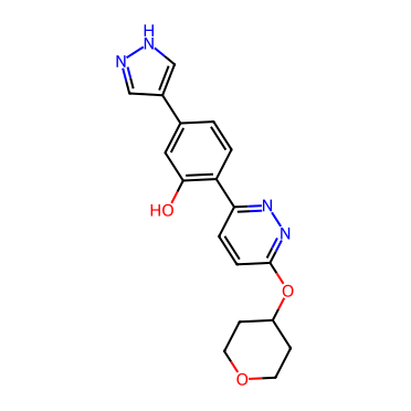 Oc1cc(-c2cn[nH]c2)ccc1-c1ccc(OC2CCOCC2)nn1